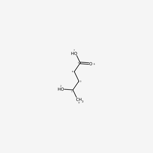 CC(O)[CH]CC(=O)O